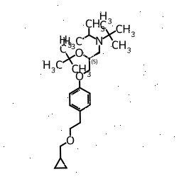 CC(C)N(C[C@@H](COc1ccc(CCOCC2CC2)cc1)OC(C)(C)C)C(C)(C)C